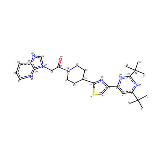 CC(C)(C)c1cc(-c2csc(C3CCN(C(=O)Cn4cnc5cccnc54)CC3)n2)nc(C(C)(C)C)n1